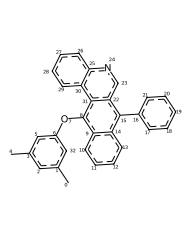 Cc1cc(C)cc(Oc2c3ccccc3c(-c3ccccc3)c3cnc4ccccc4c23)c1